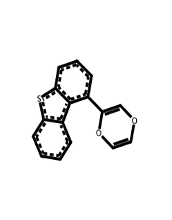 C1=COC(c2cccc3sc4ccccc4c23)=CO1